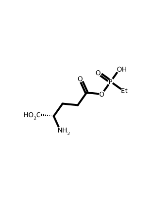 CCP(=O)(O)OC(=O)CC[C@H](N)C(=O)O